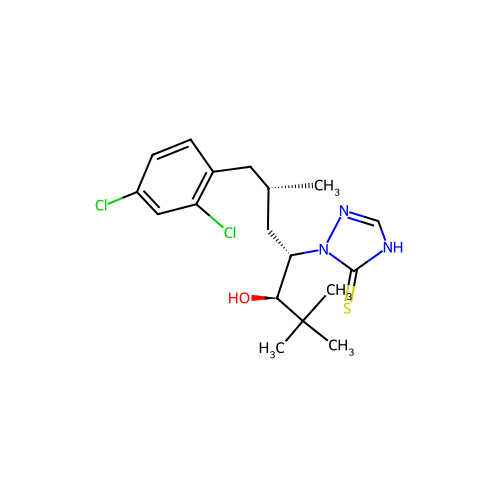 C[C@@H](Cc1ccc(Cl)cc1Cl)C[C@@H]([C@H](O)C(C)(C)C)n1nc[nH]c1=S